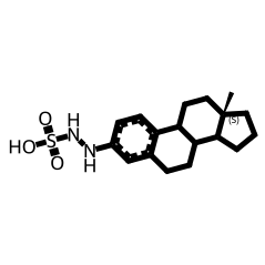 C[C@@]12CCCC1C1CCc3cc(NNS(=O)(=O)O)ccc3C1CC2